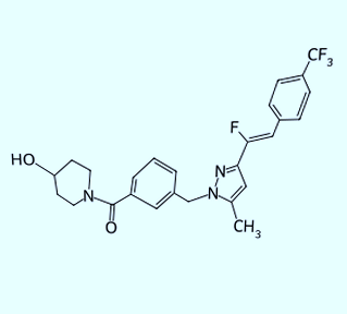 Cc1cc(C(F)=Cc2ccc(C(F)(F)F)cc2)nn1Cc1cccc(C(=O)N2CCC(O)CC2)c1